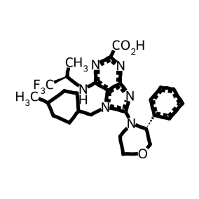 CC1CCC(Cn2c(N3CCOC[C@H]3c3ccccc3)nc3nc(C(=O)O)nc(N[C@H](C)C(F)(F)F)c32)CC1